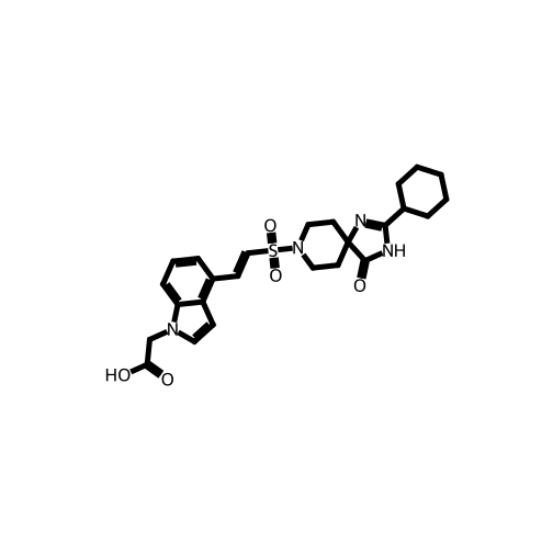 O=C(O)Cn1ccc2c(/C=C/S(=O)(=O)N3CCC4(CC3)N=C(C3CCCCC3)NC4=O)cccc21